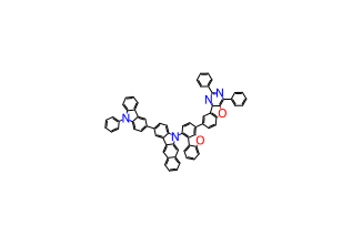 c1ccc(-c2nc(-c3ccccc3)c3oc4ccc(-c5ccc(-n6c7ccc(-c8ccc9c(c8)c8ccccc8n9-c8ccccc8)cc7c7cc8ccccc8cc76)c6c5oc5ccccc56)cc4c3n2)cc1